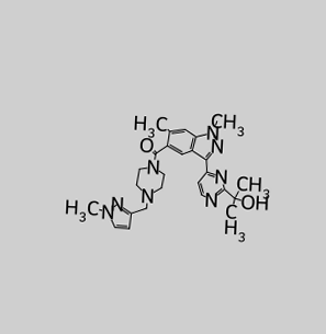 Cc1cc2c(cc1C(=O)N1CCN(Cc3ccn(C)n3)CC1)c(-c1ccnc(C(C)(C)O)n1)nn2C